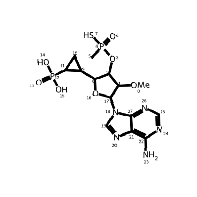 COC1C(OP(C)(=O)S)C(C2CC2P(=O)(O)O)OC1n1cnc2c(N)ncnc21